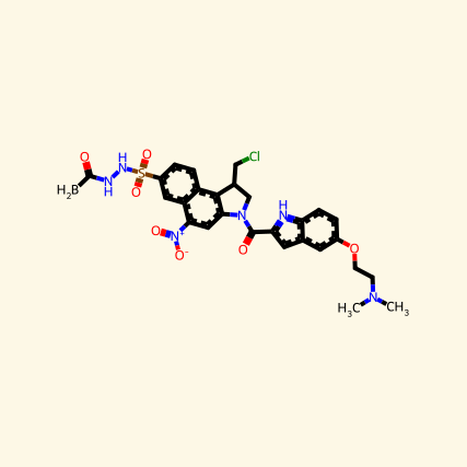 BC(=O)NNS(=O)(=O)c1ccc2c3c(cc([N+](=O)[O-])c2c1)N(C(=O)c1cc2cc(OCCN(C)C)ccc2[nH]1)CC3CCl